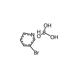 Brc1cccnc1.OB(O)O